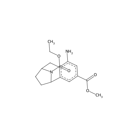 CCOC(=O)N1C2CCC1c1cc(C(=O)OC)cc(N)c1C2